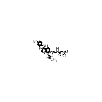 C=CC(=O)Nc1c(OCCNC(=O)CN(CC)CC)ccc2c(Nc3ccc(Br)cc3F)ncnc12